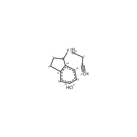 C#CCN.Cl.FC1CCc2ccccc21